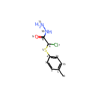 Cc1ccc(SC(Cl)C(=O)NN)cc1